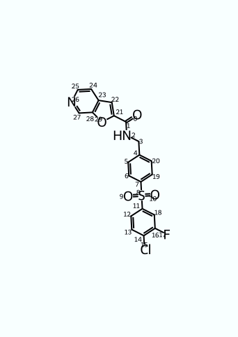 O=C(NCc1ccc(S(=O)(=O)c2ccc(Cl)c(F)c2)cc1)c1cc2ccncc2o1